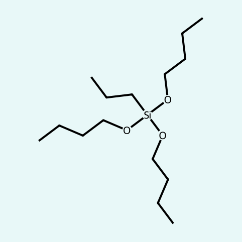 CCCCO[Si](CCC)(OCCCC)OCCCC